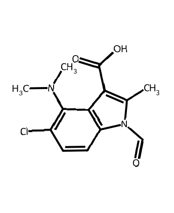 Cc1c(C(=O)O)c2c(N(C)C)c(Cl)ccc2n1C=O